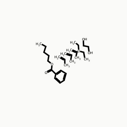 C=CC.C=CC.C=CC.CCCCCOC(=O)c1ccccc1.CCOCC.OCCO